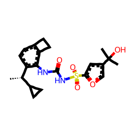 C[C@H](c1ccc2c(c1NC(=O)NS(=O)(=O)c1cc(C(C)(C)O)co1)CC2)C1CC1